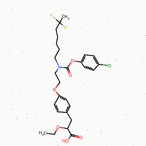 CCOC(Cc1ccc(OCCN(CCCCCC(C)(F)F)C(=O)Oc2ccc(Cl)cc2)cc1)C(=O)O